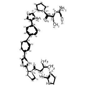 CC(C)[C@H](NC1=NCCN1)C(=O)N1CCCC1c1ncc(-c2ccc(-c3ccc(-c4cnc([C@@H]5CCCN5C(=O)[C@H](C)OC(N)=O)[nH]4)cc3)cc2)[nH]1